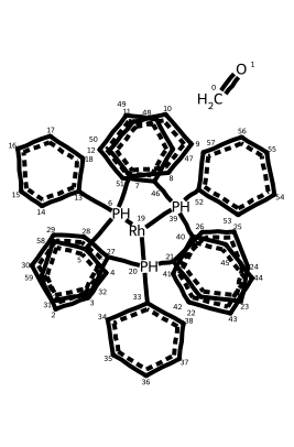 C=O.c1ccc([PH](c2ccccc2)(c2ccccc2)[Rh]([PH](c2ccccc2)(c2ccccc2)c2ccccc2)[PH](c2ccccc2)(c2ccccc2)c2ccccc2)cc1